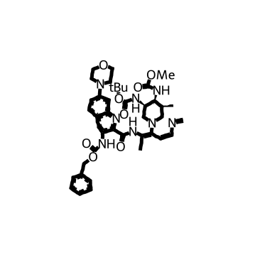 C=N/C=C\C(=C(/C)NC(=O)c1nc2cc(N3CCOCC3)ccc2cc1NC(=O)OCc1ccccc1)N1C[C@H](C)[C@H](NC(=O)OC)[C@H](NC(=O)OC(C)(C)C)C1